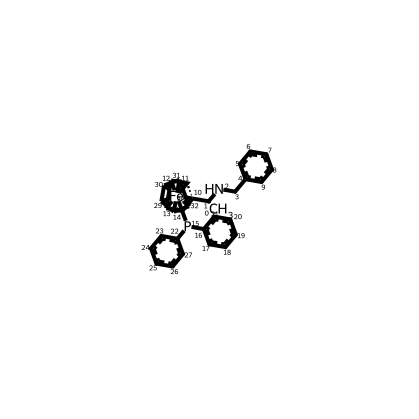 C[C@@H](NCc1ccccc1)[C@@]12[CH]3[CH]4[CH]5[C]1(P(c1ccccc1)c1ccccc1)[Fe]45321678[CH]2[CH]1[CH]6[CH]7[CH]28